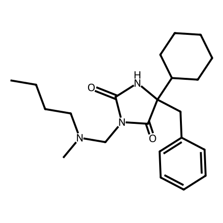 CCCCN(C)CN1C(=O)NC(Cc2ccccc2)(C2CCCCC2)C1=O